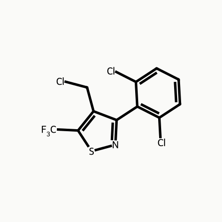 FC(F)(F)c1snc(-c2c(Cl)cccc2Cl)c1CCl